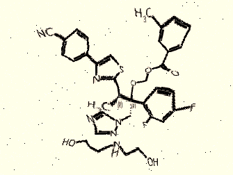 Cc1cccc(C(=O)OCO[C@@](Cn2cncn2)(c2ccc(F)cc2F)[C@@H](C)c2nc(-c3ccc(C#N)cc3)cs2)c1.OCCNCCO